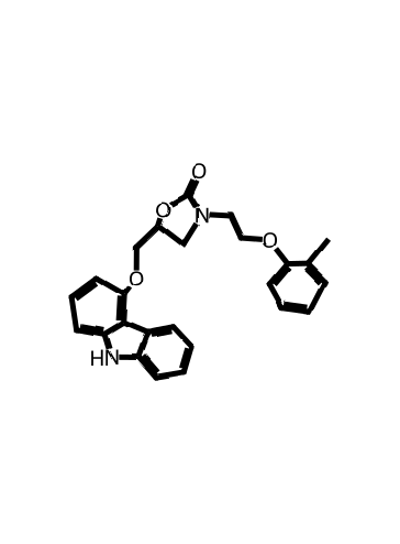 Cc1ccccc1OCCN1CC(COc2cccc3[nH]c4ccccc4c23)OC1=O